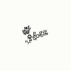 COc1ncc(-c2cc(C(F)(F)F)c3c(N)ncnn23)cc1C(=O)N[C@@H]1CN(C(=O)OC2CC(F)(F)C2(F)F)C[C@@H]1F